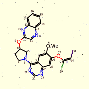 COc1cc2c(N3CCC(Oc4cnc5ccccc5n4)C3)ncnc2cc1O/C(F)=C\I